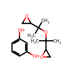 CC(C)(OC(C)(C)C1CO1)C1CO1.Oc1cccc(O)c1